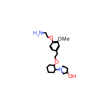 COc1cc(CCOC2CCCCC2N2CC[C@@H](O)C2)ccc1OCCN